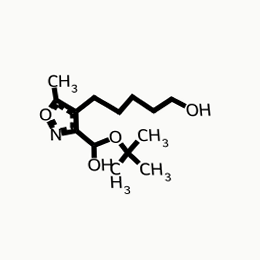 Cc1onc(C(O)OC(C)(C)C)c1CCCCCO